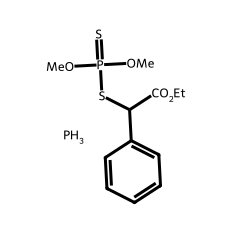 CCOC(=O)C(SP(=S)(OC)OC)c1ccccc1.P